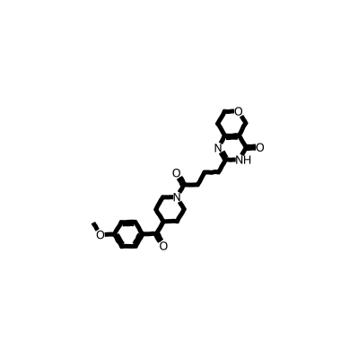 COc1ccc(C(=O)C2CCN(C(=O)CCCc3nc4c(c(=O)[nH]3)COCC4)CC2)cc1